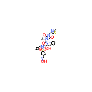 Cc1nc(CN2C(=O)CN([C@H](C(=O)N[C@@H](Cc3ccccc3)[C@H](O)CN(CC3CCC3)S(=O)(=O)c3ccc(C=NO)cc3)C(C)C)C2=O)cs1